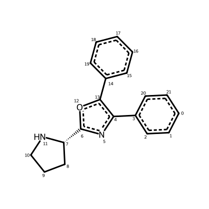 c1ccc(-c2nc([C@@H]3CCCN3)oc2-c2ccccc2)cc1